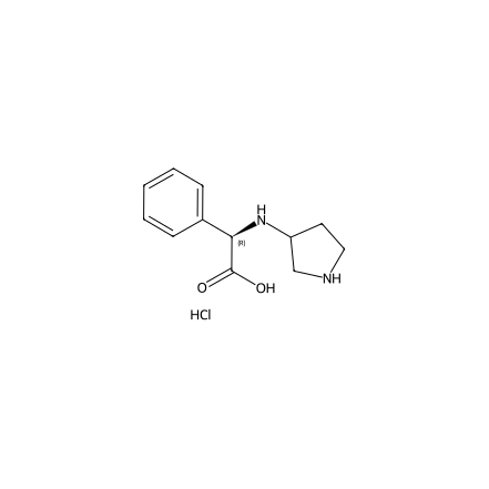 Cl.O=C(O)[C@H](NC1CCNC1)c1ccccc1